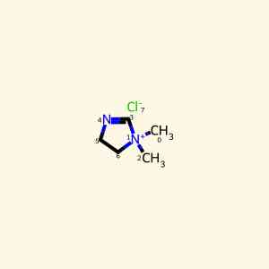 C[N+]1(C)C=NCC1.[Cl-]